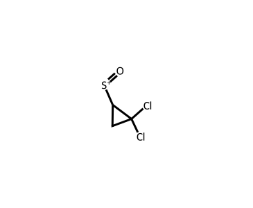 O=[S+]C1CC1(Cl)Cl